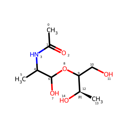 CC(=O)NC(C)C(O)OC(CO)[C@@H](C)O